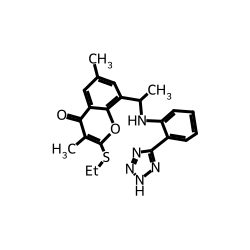 CCSc1oc2c(C(C)Nc3ccccc3-c3nn[nH]n3)cc(C)cc2c(=O)c1C